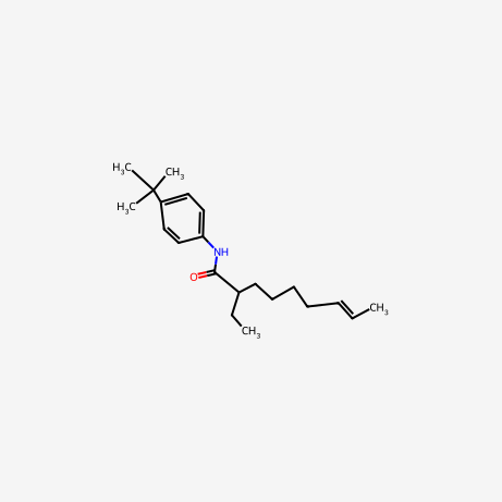 CC=CCCCCC(CC)C(=O)Nc1ccc(C(C)(C)C)cc1